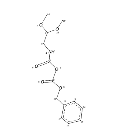 COC(CNC(=O)OC(=O)OCc1ccccc1)OC